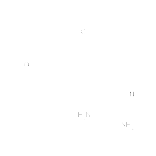 COCC(C)c1cnc(N)c(N)c1-c1ccc(OC)cc1C